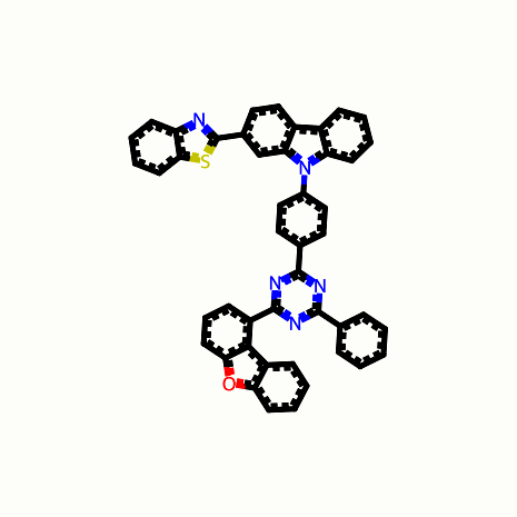 c1ccc(-c2nc(-c3ccc(-n4c5ccccc5c5ccc(-c6nc7ccccc7s6)cc54)cc3)nc(-c3cccc4oc5ccccc5c34)n2)cc1